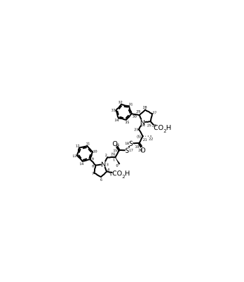 C[C@@H](CN1C(C(=O)O)CCC1c1ccccc1)C(=O)SSC(=O)[C@@H](C)CN1C(C(=O)O)CCC1c1ccccc1